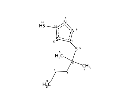 CCCC(C)(C)Sc1nnc(S)s1